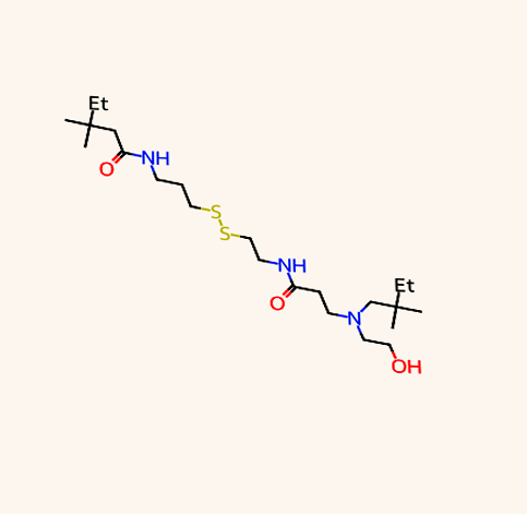 CCC(C)(C)CC(=O)NCCCSSCCNC(=O)CCN(CCO)CC(C)(C)CC